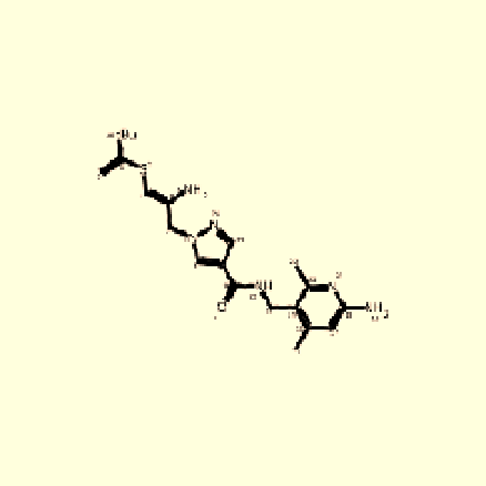 C=C(S/C=C(\N)Cn1cc(C(=O)NCc2c(C)cc(N)nc2C)cn1)C(C)(C)C